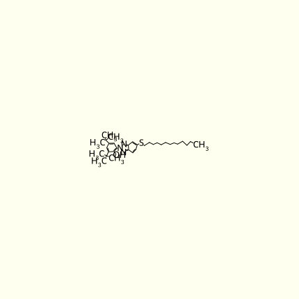 CCCCCCCCCCCCCSc1ccc2nn(-c3cc(C(C)(C)C)cc(C(C)(C)C)c3O)nc2c1